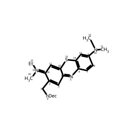 CCCCCCCCCCCc1cc2nc3ccc(N(C)C)cc3sc-2c/c1=[N+](/C)CC